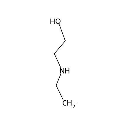 [CH2]CNCCO